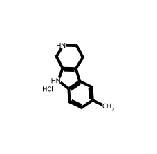 Cc1ccc2[nH]c3c(c2c1)CCNC3.Cl